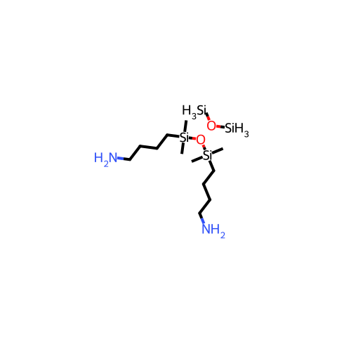 C[Si](C)(CCCCN)O[Si](C)(C)CCCCN.[SiH3]O[SiH3]